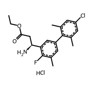 CCOC(=O)C[C@H](N)c1cc(-c2c(C)cc(Cl)cc2C)cc(C)c1F.Cl